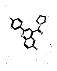 O=C(c1cc(-c2ccc(F)cc2)nc2ccc(F)cc12)N1CCCC1